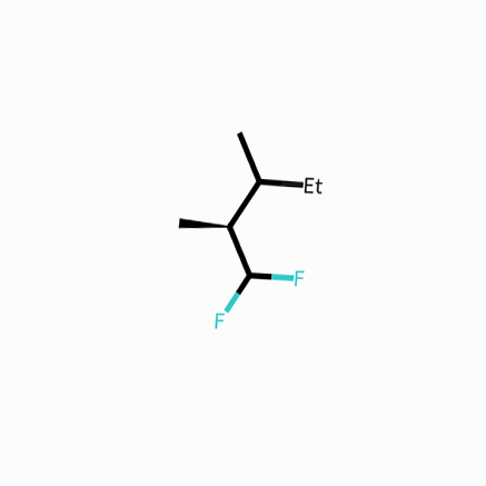 CCC(C)[C@H](C)C(F)F